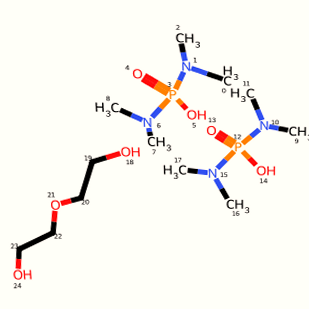 CN(C)P(=O)(O)N(C)C.CN(C)P(=O)(O)N(C)C.OCCOCCO